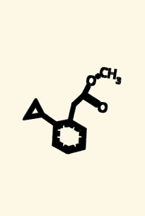 COC(=O)Cc1ccccc1C1CC1